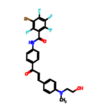 CN(CCO)c1ccc(/C=C/C(=O)c2ccc(NC(=O)c3c(F)c(F)c(F)c(Br)c3F)cc2)cc1